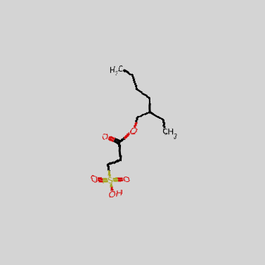 CCCCC(CC)COC(=O)CCS(=O)(=O)O